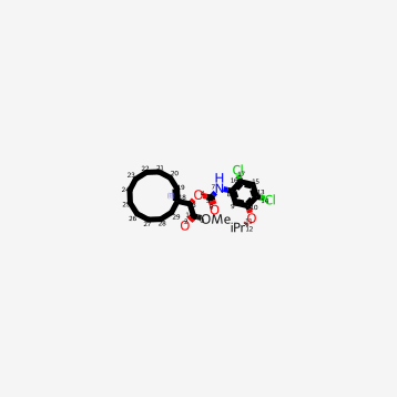 COC(=O)C(OC(=O)Nc1cc(OC(C)C)c(Cl)cc1Cl)/C1=C/CCCCCCCCCC1